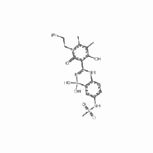 Cc1c(O)c(C2=NS(O)(O)c3cc(NS(C)(=O)=O)ccc3N2)c(=O)n(CCC(C)C)c1C